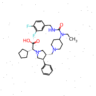 CCN(C(=O)NCc1ccc(F)c(F)c1)C1CCN(C[C@H]2CN([C@@H](C(=O)O)C3CCCC3)C[C@@H]2c2ccccc2)CC1